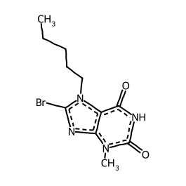 CCCCCn1c(Br)nc2c1c(=O)[nH]c(=O)n2C